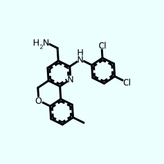 Cc1ccc2c(c1)-c1nc(Nc3ccc(Cl)cc3Cl)c(CN)cc1CO2